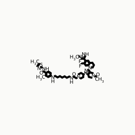 CN/C=C(\C=N)c1cc2c(cc1C(F)F)N(c1nn(C3CCN(CC(=O)NCCCCCCCNc4ccc(C(=O)Nc5ncc(C)s5)c(C)c4)CC3)c3c1CN(C(C)=O)CC3)CCC2